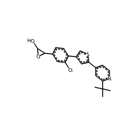 CC(C)(C)c1cc(-c2cc(-c3ccc(C4OC4O)cc3Cl)cs2)ccn1